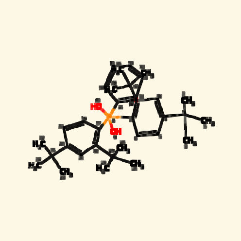 CC(C)(C)c1ccc(P(O)(O)(c2ccccc2)c2ccc(C(C)(C)C)cc2C(C)(C)C)c(C(C)(C)C)c1